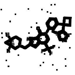 Cn1cnnc1C1(c2cccc(-n3cc(C(F)(F)F)c4cc(CN5CC[C@H]6C[C@H]6C5)[nH]c4c3=O)c2)CCC1